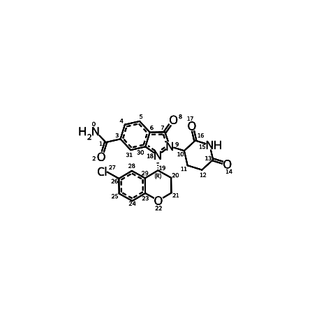 NC(=O)c1ccc2c(=O)n(C3CCC(=O)NC3=O)n([C@@H]3CCOc4ccc(Cl)cc43)c2c1